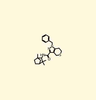 CC12CCC(C1)C(C)(C)C2NC(=O)c1nn(Cc2ccccc2)c2c1CSCC2